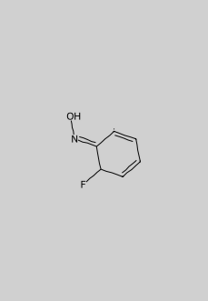 ON=C1[C]=CC=CC1F